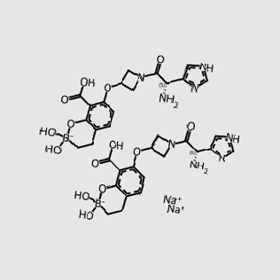 N[C@H](C(=O)N1CC(Oc2ccc3c(c2C(=O)O)O[B-](O)(O)CC3)C1)c1c[nH]cn1.N[C@H](C(=O)N1CC(Oc2ccc3c(c2C(=O)O)O[B-](O)(O)CC3)C1)c1c[nH]cn1.[Na+].[Na+]